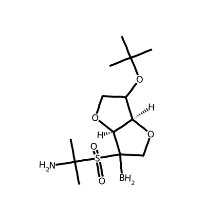 BC1(S(=O)(=O)C(C)(C)N)CO[C@@H]2C(OC(C)(C)C)CO[C@@H]21